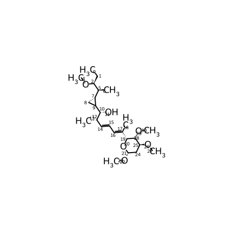 CC[C@H](OC)[C@@H](C)[C@H]1CC1[C@H](O)[C@@H](C)/C=C/C=C(\C)[C@H]1O[C@@H](OC)C[C@H](OC)[C@H]1OC